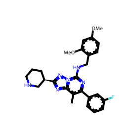 COc1ccc(CNc2nc(-c3cccc(F)c3)c(C)c3nc([C@@H]4CCCNC4)nn23)c(OC)c1